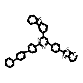 c1ccc(-c2ccc(-c3ccc(-c4nc(-c5ccc(-c6nc7ccccc7s6)cc5)cc(-c5ccc6sc7ccccc7c6c5)n4)cc3)cc2)cc1